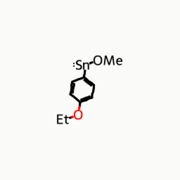 CCOc1cc[c]([Sn][O]C)cc1